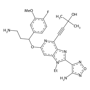 CCn1c(-c2nonc2N)nc2c(C#CC(C)(C)O)nc(OC(CCN)c3ccc(F)c(OC)c3)cc21